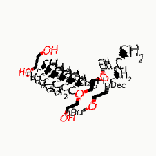 C=C.C=C.C=C.C=C.C=C.C=C.C=C.C=C.CCCCCCCCCCCCOCCCC.CCOCCOCCO.OCCO